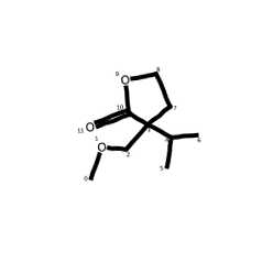 COCC1(C(C)C)CCOC1=O